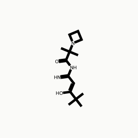 CC(C)(C)/C(O)=C/C(=N)NC(=O)C(C)(C)N1CCC1